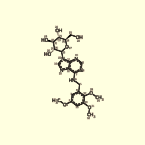 COc1cc(CNc2ncnc3c2ncn3C2O[C@H](CO)[C@@H](O)[C@H](O)[C@H]2O)c(OC)c(OC)c1